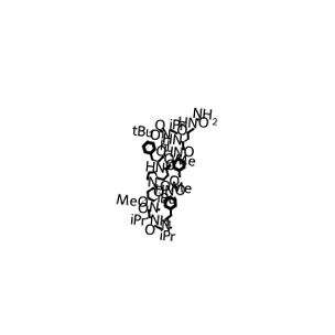 CC[C@H](C)[C@@H]([C@@H](CC(=O)N1CCC[C@H]1[C@H](OC)[C@@H](C)C(=O)N[C@@H](Cc1ccccc1)C(=O)OC)OC)N(C)C(=O)[C@@H](NC(=O)[C@H](C(C)C)N(C)CCc1ccc(NC(=O)OCc2ccc(NC(=O)[C@H](CCCNC(N)=O)NC(=O)[C@@H](NC(=O)OC(C)(C)C)C(C)C)cc2)cc1)C(C)C